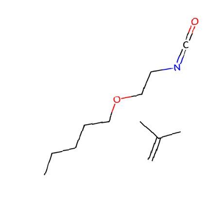 C=C(C)C.CCCCCOCCN=C=O